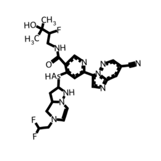 CC(C)(O)C(F)CNC(=O)c1cnc(-c2cnc3cc(C#N)cnn23)cc1[AsH]C1CC2CN(CC(F)F)C=CN2N1